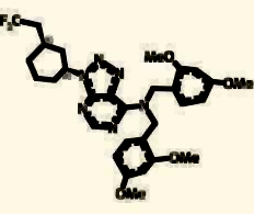 COc1ccc(CN(Cc2ccc(OC)cc2OC)c2ncnc3c2nnn3[C@H]2CCC[C@@H](CC(F)(F)F)C2)c(OC)c1